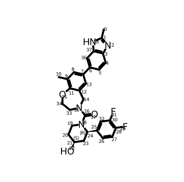 Cc1nc2ccc(-c3cc(C)c4c(c3)CN(C(=O)N3CC[C@H](O)C[C@@H]3c3ccc(F)c(F)c3)CCO4)cc2[nH]1